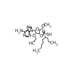 C#CCOC1C(OP(=O)(S)C(CCC)CCCCC)C(COC)OC1n1cnc2c(N)ncnc21